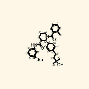 Cc1ccccc1C(=O)N1CCC[C@H](C(=O)Nc2cccc(C(C)(C)C)c2)[C@@H]1C1C=CC(CCC(C)(C)O)=CC1